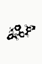 O=C(N[C@@H]1CCN(C(=O)c2cc(Cl)c3nccn3c2)C[C@@H]1c1ccccc1)c1ccccc1OC(F)(F)F